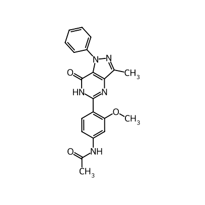 COc1cc(NC(C)=O)ccc1-c1nc2c(C)nn(-c3ccccc3)c2c(=O)[nH]1